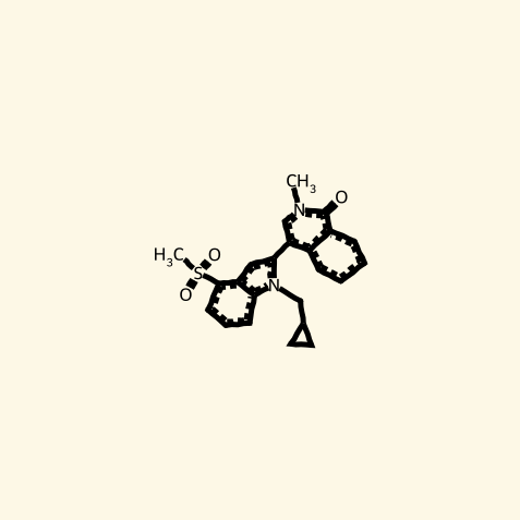 Cn1cc(-c2cc3c(S(C)(=O)=O)cccc3n2CC2CC2)c2ccccc2c1=O